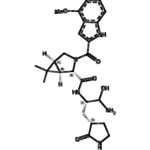 COc1cccc2[nH]c(C(=O)N3C[C@H]4[C@@H]([C@H]3C(=O)N[C@@H](C[C@@H]3CCNC3=O)C(N)O)C4(C)C)cc12